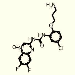 NCCCOc1ccc(Cl)cc1NC(=O)Nc1c[n+]([O-])c2cc(F)c(F)cc2n1